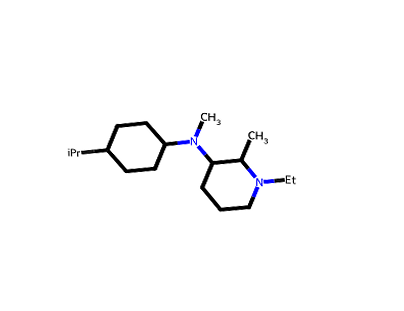 CCN1CCCC(N(C)C2CCC(C(C)C)CC2)C1C